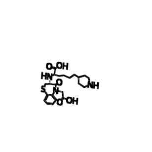 O=C(O)CN1C(=O)[C@@H](NC(CCCCC2CCNCC2)C(=O)O)CSc2ccccc21